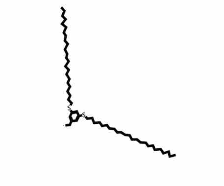 [CH2]Cc1cc(SCCCCCCCCCCCCCCCCCCCCCCCC)cc(SCCCCCCCCCCCCCCCCCCCCCCCC)c1